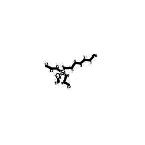 CCCCCCC[Si](CCC)(CCC)OC